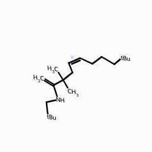 C=C(NCC(C)(C)C)C(C)(C)C/C=C\CCCC(C)(C)C